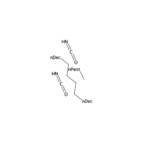 CCCCCC.CCCCCCCCCCCCCCCCCCCCCCCC.N=C=O.N=C=O